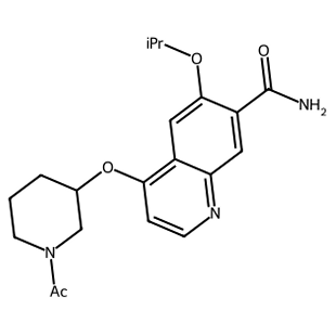 CC(=O)N1CCCC(Oc2ccnc3cc(C(N)=O)c(OC(C)C)cc23)C1